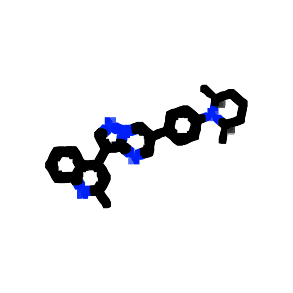 Cc1cc(-c2cnn3cc(-c4ccc(N5[C@H](C)CCC[C@@H]5C)cc4)cnc23)c2ccccc2n1